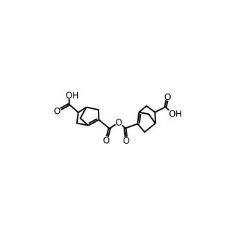 O=C(OC(=O)C1=C2CC(C1)C(C(=O)O)C2)C1=C2CC(C1)C(C(=O)O)C2